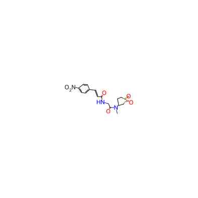 CN(C(=O)CNC(=O)/C=C/c1ccc([N+](=O)[O-])cc1)C1CCS(=O)(=O)C1